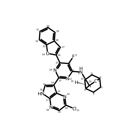 Fc1c(N[C@H]2CC3CCC2CC3)nc(-c2c[nH]c3ncc(Cl)nc23)nc1-c1cc2ccccc2o1